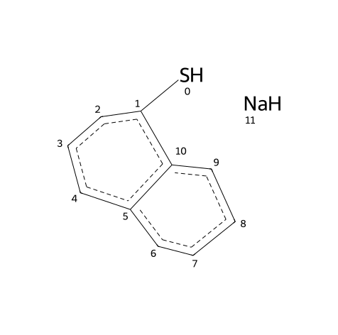 Sc1cccc2ccccc12.[NaH]